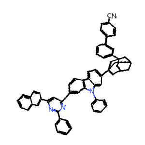 N#Cc1ccc(-c2cccc(C34CC5CC(C3)CC(c3ccc6c7ccc(-c8cc(-c9ccc%10ccccc%10c9)nc(-c9ccccc9)n8)cc7n(-c7ccccc7)c6c3)(C5)C4)c2)cc1